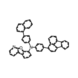 c1ccc2c(c1)-c1cccc3c(-c4ccc(N(c5ccc(-c6cccc7ccccc67)cc5)c5cccc6c5oc5ncccc56)cc4)ccc-2c13